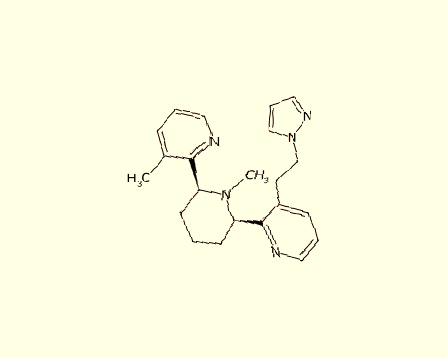 Cc1cccnc1[C@@H]1CCC[C@H](c2ncccc2CCn2cccn2)N1C